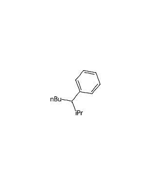 CCCC[C](c1ccccc1)C(C)C